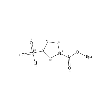 CC(C)(C)OC(=O)N1CCC(S(=O)(=O)Cl)C1